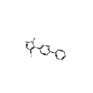 Cn1ncc(I)c1-c1ccc(-c2ccccc2)nc1